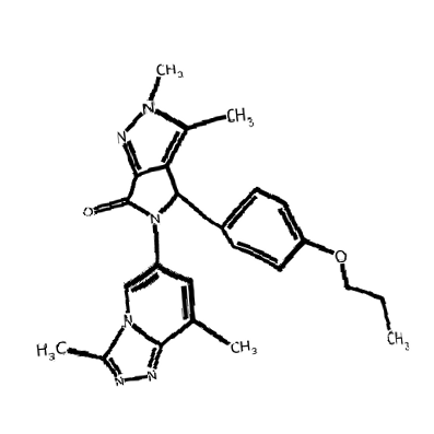 CCCOc1ccc(C2c3c(nn(C)c3C)C(=O)N2c2cc(C)c3nnc(C)n3c2)cc1